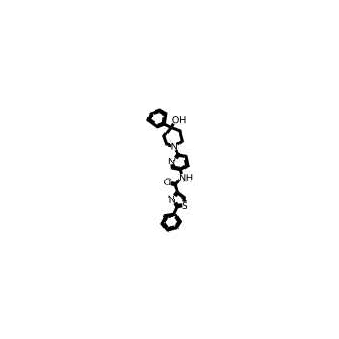 O=C(Nc1ccc(N2CCC(O)(c3ccccc3)CC2)nc1)c1csc(-c2ccccc2)n1